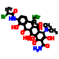 Br.CCCC(Br)C(=O)Nc1ccc2c(c1O)C(=O)C1=C(O)[C@]3(O)C(=O)C(C(N)=O)=C(O)[C@@H](N(C)C)C3C(O)C1C2C